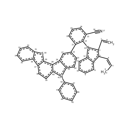 C=Cc1c(/C=C\C)c2ccccc2n1-c1c(C#N)cccc1-c1ccc2c(c1)c1c3sc4ccccc4c3ccc1n2-c1ccccc1